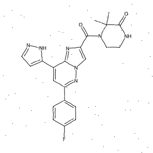 CC1(C)C(=O)NCCN1C(=O)c1cn2nc(-c3ccc(F)cc3)cc(-c3ccn[nH]3)c2n1